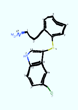 NCCc1ccccc1Sc1c[nH]c2ccc(Cl)cc12